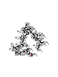 CC[C@H](C)[C@H](NC(=O)CNC(=O)[C@@H](NC(=O)CNC(=O)[C@H](CC(C)C)NC(=O)[C@@H]1CCCN1C(=O)[C@@H](NC(=O)[C@H](CC(=O)O)NC(=O)[C@@H](NC(=O)CNC(=O)[C@H](CC(=O)O)NC(=O)[C@H](CC(C)C)NC(=O)[C@H](CO)NC(=O)[C@@H](NC(=O)[C@@H](N)CC(N)=O)[C@@H](C)CC)C(C)C)C(C)C)[C@@H](C)O)C(=O)N[C@@H](CO)C(=O)N[C@@H](CO)C(=O)NCC(=O)N[C@H](C(=O)N[C@@H](CC(N)=O)C(=O)O)C(C)C